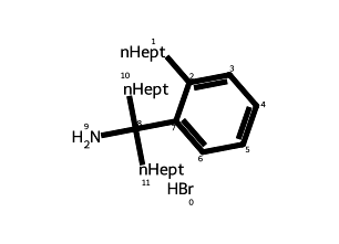 Br.CCCCCCCc1ccccc1C(N)(CCCCCCC)CCCCCCC